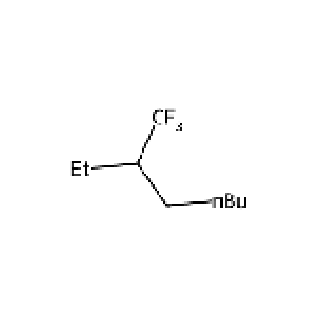 [CH2]CCCCC(CC)C(F)(F)F